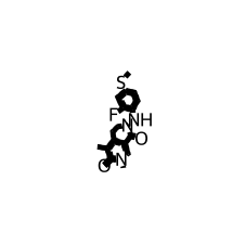 CSc1ccc(NN2CCc3c(cn(C)c(=O)c3C)C2=O)c(F)c1